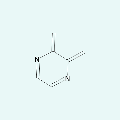 C=c1nccnc1=C